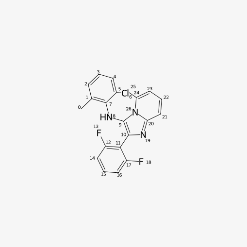 Cc1cccc(Cl)c1Nc1c(-c2c(F)cccc2F)nc2cccc(C)n12